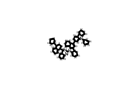 c1ccc(-c2ccc(-c3nc(-n4c5ccccc5c5cc(-c6ccc7c8ccccc8n(-c8ccccc8)c7c6)c6ccccc6c54)nc4ccccc34)c3ccccc23)cc1